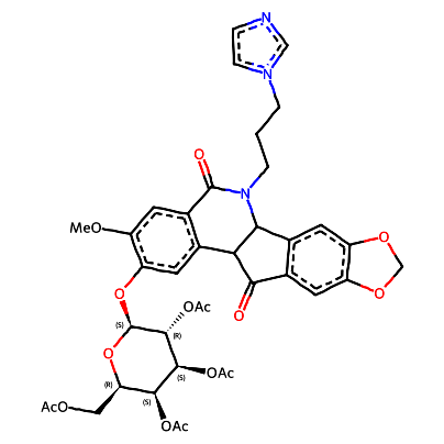 COc1cc2c(cc1O[C@@H]1O[C@H](COC(C)=O)[C@H](OC(C)=O)[C@H](OC(C)=O)[C@H]1OC(C)=O)C1C(=O)c3cc4c(cc3C1N(CCCn1ccnc1)C2=O)OCO4